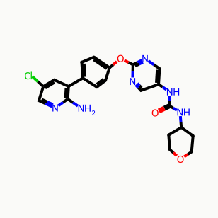 Nc1ncc(Cl)cc1-c1ccc(Oc2ncc(NC(=O)NC3CCOCC3)cn2)cc1